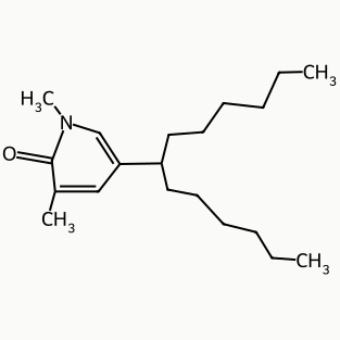 CCCCCCC(CCCCCC)c1cc(C)c(=O)n(C)c1